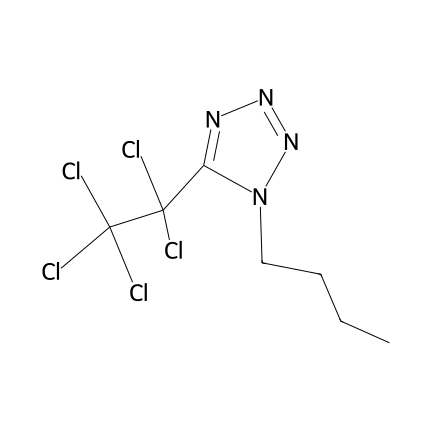 CCCCn1nnnc1C(Cl)(Cl)C(Cl)(Cl)Cl